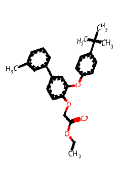 CCOC(=O)COc1ccc(-c2cccc(C)c2)cc1Oc1ccc(C(C)(C)C)cc1